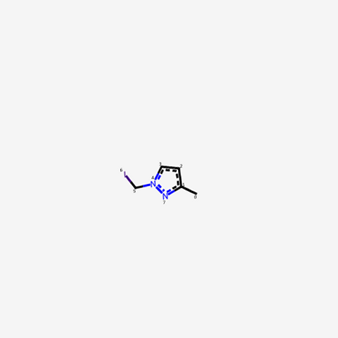 Cc1ccn(CI)n1